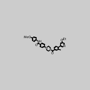 CCOc1cncc(-c2ccc(C(=O)N3CCN(c4ccc(C(=O)Nc5ccc(OC)cc5)cc4)CC3)cc2C)c1